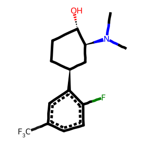 CN(C)[C@H]1C[C@@H](c2cc(C(F)(F)F)ccc2F)CC[C@@H]1O